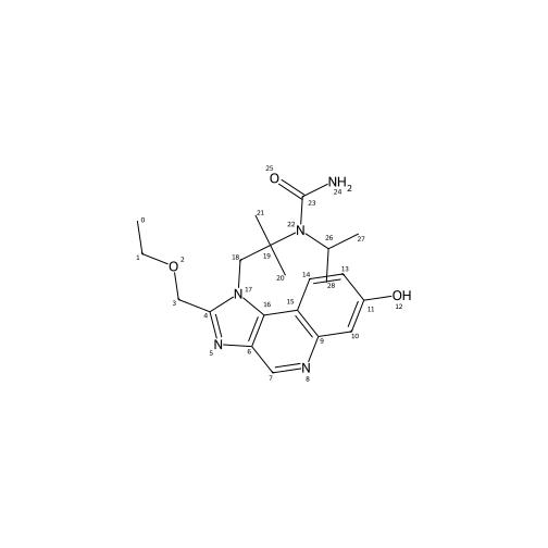 CCOCc1nc2cnc3cc(O)ccc3c2n1CC(C)(C)N(C(N)=O)C(C)C